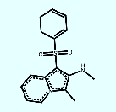 CNc1c(S(=O)(=O)C2=CC=CCC2)c2ccccn2c1C